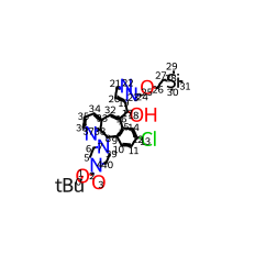 CC(C)(C)OC(=O)N1CCN([C@H]2c3ccc(Cl)cc3C(C(O)c3ccnn3COCC[Si](C)(C)C)=Cc3cccnc32)CC1